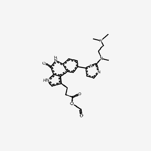 CN(C)CCN(C)c1nccc(-c2ccc3[nH]c(=O)c4[nH]cc(CCC(=O)OC=O)c4c3c2)n1